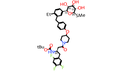 CCc1ccc([C@@H]2O[C@H](SC)[C@@H](O)[C@H](O)[C@H]2O)cc1Cc1ccc(OC2CCN(C(=O)C[C@@H](Cc3cc(F)c(F)cc3F)NC(=O)OC(C)(C)C)CC2)cc1